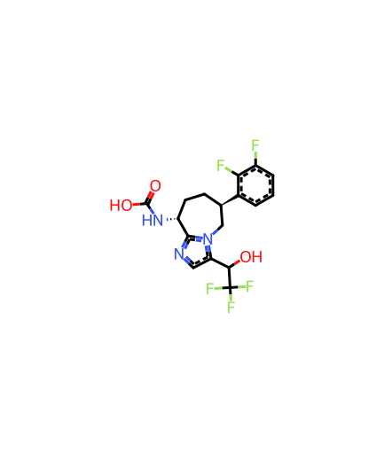 O=C(O)N[C@@H]1CC[C@@H](c2cccc(F)c2F)Cn2c(C(O)C(F)(F)F)cnc21